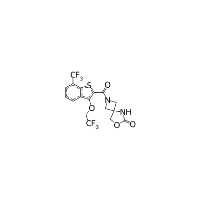 O=C1NC2(CO1)CN(C(=O)c1sc3c(C(F)(F)F)cccc3c1OCC(F)(F)F)C2